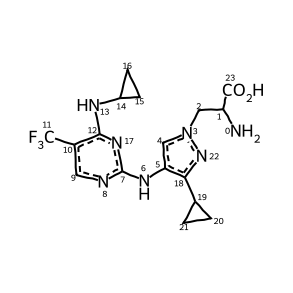 NC(Cn1cc(Nc2ncc(C(F)(F)F)c(NC3CC3)n2)c(C2CC2)n1)C(=O)O